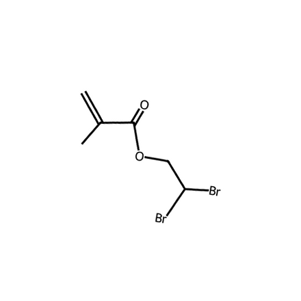 C=C(C)C(=O)OCC(Br)Br